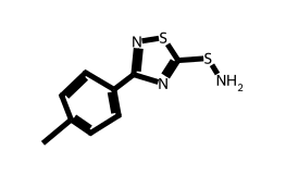 Cc1ccc(-c2nsc(SN)n2)cc1